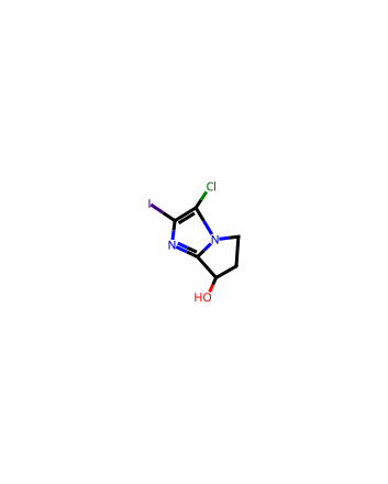 OC1CCn2c1nc(I)c2Cl